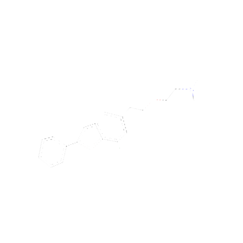 CCN(CC)CCOCCc1ccc2sc(-c3ccccc3)cc2c1.Cl